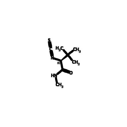 CNC(=O)[C@@H](N=C=S)C(C)(C)C